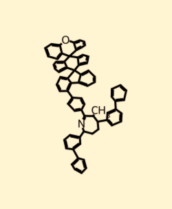 CC1C(c2ccc(-c3cccc4c3-c3ccccc3C43c4ccccc4C4(c5ccccc5Oc5ccccc54)c4ccccc43)cc2)=NC(c2cccc(-c3ccccc3)c2)CCC1c1cccc(-c2ccccc2)c1